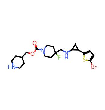 O=C(OCC1CCNCC1)N1CCC(F)(CNC2CC2c2ccc(Br)s2)CC1